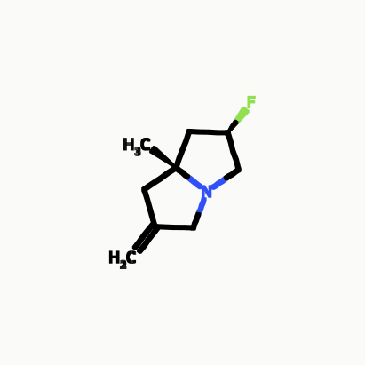 C=C1CN2C[C@H](F)C[C@@]2(C)C1